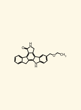 CCOCc1ccc2[nH]c3c4c(c5c(c3c2c1)CNC5=O)-c1ccccc1C4